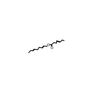 CCC=CCCC=CCOC(=O)CCC=CCC